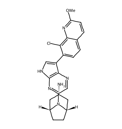 COc1ccc2ccc(-c3c[nH]c4nc(N5[C@@H]6CC[C@H]5C[C@@H](N)C6)cnc34)c(Cl)c2n1